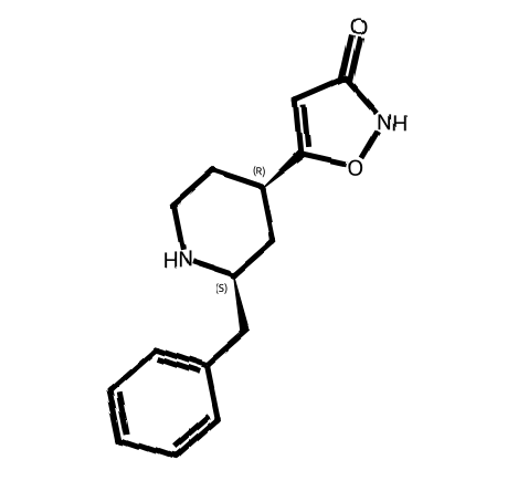 O=c1cc([C@@H]2CCN[C@H](Cc3ccccc3)C2)o[nH]1